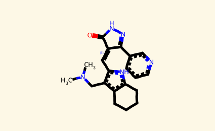 CN(C)Cc1c(/C=C2/C(=O)NN=C2c2cccnc2)[nH]c2c1CCCC2